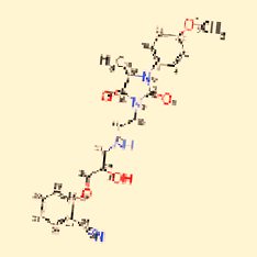 COc1ccc(N2C(=O)N(CCNCC(O)COc3ccccc3C#N)C(=O)C2C)cc1